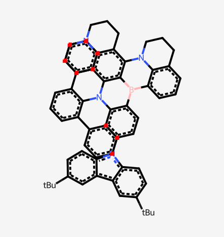 CC(C)(C)c1ccc2c(c1)c1cc(C(C)(C)C)ccc1n2-c1ccc2c(c1)N(c1c(-c3ccccc3)cccc1-c1ccccc1)c1c3c4c(c5c1B2c1cccc2c1N5CCC2)CCCN4CCC3